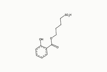 O=C(OCCCCS(=O)(=O)O)c1ccccc1O